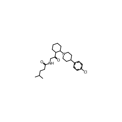 CC(C)CCC(=O)NCC(=O)C1CCCCC1N1CCC(c2ccc(Cl)cc2)CC1